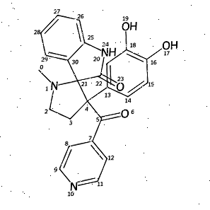 CN1CCC(C(=O)c2ccncc2)(c2ccc(O)c(O)c2)C12C(=O)Nc1ccccc12